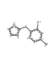 Fc1cc(Br)cnc1Cc1ncco1